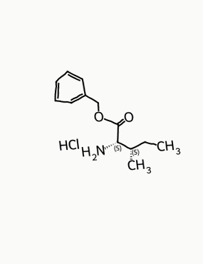 CC[C@H](C)[C@H](N)C(=O)OCc1ccccc1.Cl